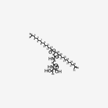 CC(C)CCCCCCCCCCCC(=O)OC(CCCCCCCCCCCC(C)C)CC(=O)NCCC(=O)N[C@H](C(=O)O)C(C)O